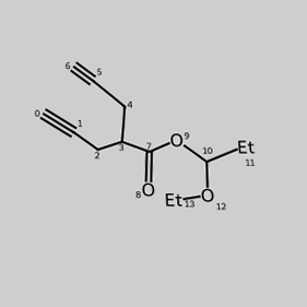 C#CCC(CC#C)C(=O)OC(CC)OCC